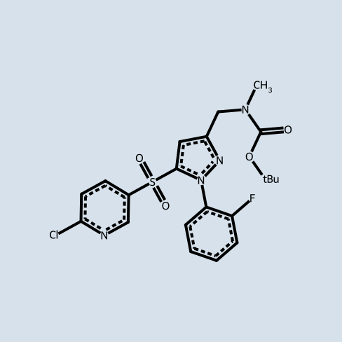 CN(Cc1cc(S(=O)(=O)c2ccc(Cl)nc2)n(-c2ccccc2F)n1)C(=O)OC(C)(C)C